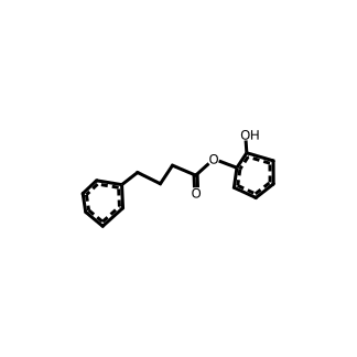 O=C(CCCc1ccccc1)Oc1ccccc1O